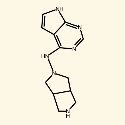 c1nc(NN2CC3CNCC3C2)c2cc[nH]c2n1